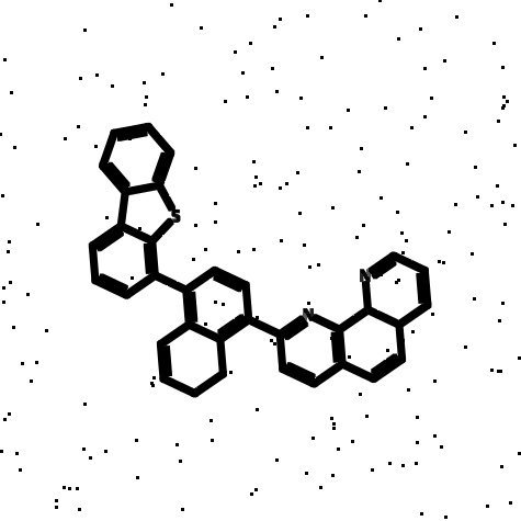 C1=CC2C=Cc3ccc(-c4ccc(-c5cccc6c5sc5ccccc56)c5c4CCC=C5)nc3C2N=C1